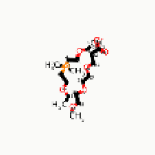 CCOCC[P+](C)(C)CCOCC.COCCOCCOCCC(=O)[O-]